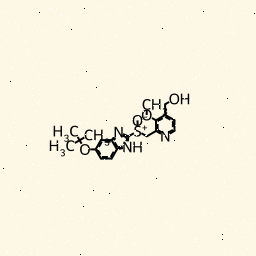 COc1c(CO)ccnc1C[S+]([O-])c1nc2cc(OC(C)(C)C)ccc2[nH]1